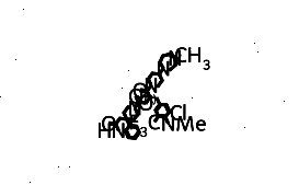 CNc1c(Cl)cc(C[C@@H](OC(=O)N2CCC3(CC2)CC(=O)Nc2ccccc23)C(=O)N2CCC(N3CCCN(C)CC3)CC2)cc1C(F)(F)F